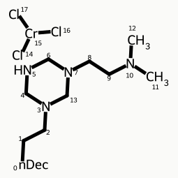 CCCCCCCCCCCCN1CNCN(CCN(C)C)C1.[Cl][Cr]([Cl])[Cl]